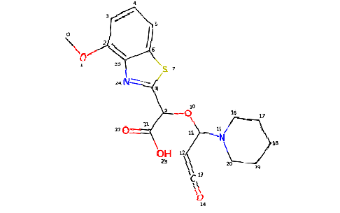 COc1cccc2sc(C(OC(C=C=O)N3CCCCC3)C(=O)O)nc12